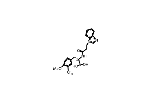 COc1ccc(C[C@H](NC(=O)CCn2cnc3ccccc32)B(O)O)cc1C(F)(F)F